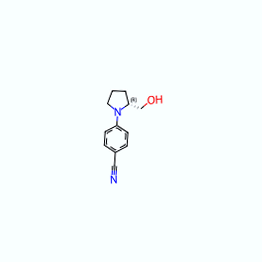 N#Cc1ccc(N2CCC[C@@H]2CO)cc1